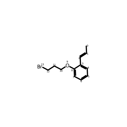 CC=Cc1ccccc1OCCCBr